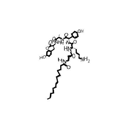 CCCCCCCCCCCCCC(=O)NCCC(=O)N[C@@H](CCCCN)C(=O)N(C)[C@H](C(=O)N[C@@H](C)C(=O)N[C@@H](Cc1ccc(O)cc1)C(=O)O)c1ccc(O)cc1